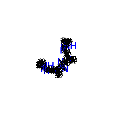 N#C/C(=C(/C#N)c1ccc(N(c2ccccc2)c2ccc(-c3ccc(/N=C4\Nc5cccc6cccc4c56)nc3)cc2)cc1)c1ccc(N(c2ccccc2)c2ccc(-c3ccc(/N=C4\Nc5cccc6cccc4c56)nc3)cc2)cc1